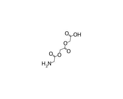 NCC(=O)OCC(=O)OCC(=O)O